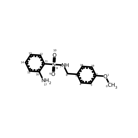 COc1ccc(CNS(=O)(=O)c2ccccc2N)cc1